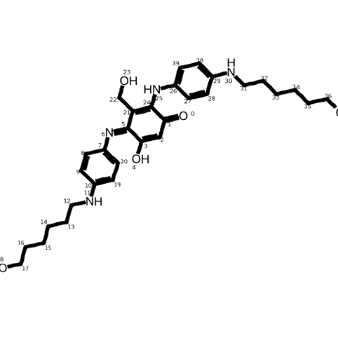 O=C1C=C(O)/C(=N\c2ccc(NCCCCCCO)cc2)C(CO)=C1Nc1ccc(NCCCCCCO)cc1